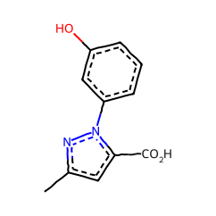 Cc1cc(C(=O)O)n(-c2cccc(O)c2)n1